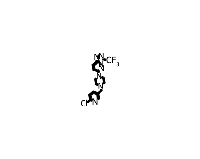 FC(F)(F)c1nnc2ccc(N3CCN(Cc4ccc(Cl)nc4)CC3)nn12